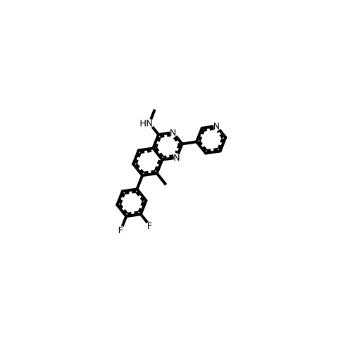 CNc1nc(-c2cccnc2)nc2c(C)c(-c3ccc(F)c(F)c3)ccc12